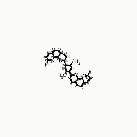 Cc1cc(-c2ccc3ccc4ccc(F)nc4c3n2)c(C)cc1-c1ccc2ccc3ccc(F)nc3c2n1